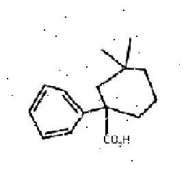 CC1(C)CCCC(C(=O)O)(c2ccccc2)C1